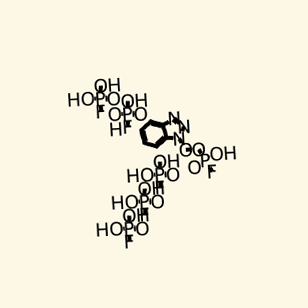 O=P(O)(F)OOn1nnc2ccccc21.O=P(O)(O)F.O=P(O)(O)F.O=P(O)(O)F.O=P(O)(O)F.O=P(O)(O)F